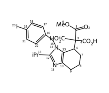 COC(=O)C(C(=O)O)(C(=O)O)C1CCCc2nc(C(C)C)n(Cc3ccc(I)cc3)c21